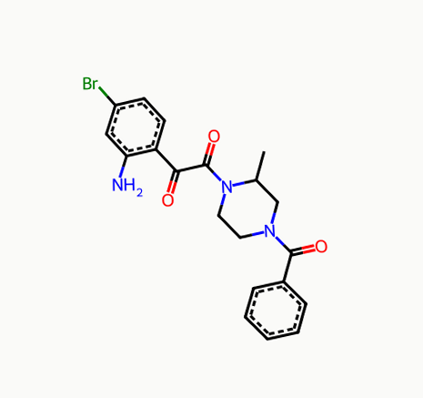 CC1CN(C(=O)c2ccccc2)CCN1C(=O)C(=O)c1ccc(Br)cc1N